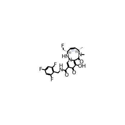 C[C@H]1/C=C\[C@@H](CF)Nn2cc(C(=O)NCc3c(F)cc(F)cc3F)c(=O)c(O)c2C(=O)N1C